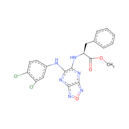 COC(=O)[C@H](Cc1ccccc1)Nc1nc2nonc2nc1Nc1ccc(Cl)c(Cl)c1